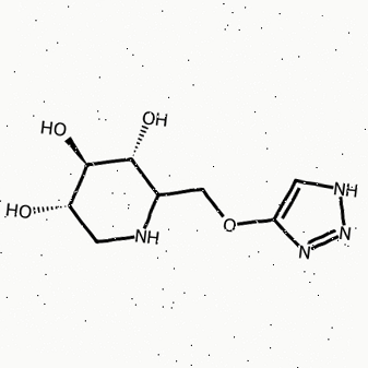 O[C@H]1[C@H](O)C(COc2c[nH]nn2)NC[C@@H]1O